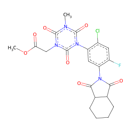 COC(=O)Cn1c(=O)n(C)c(=O)n(-c2cc(N3C(=O)C4CCCCC4C3=O)c(F)cc2Cl)c1=O